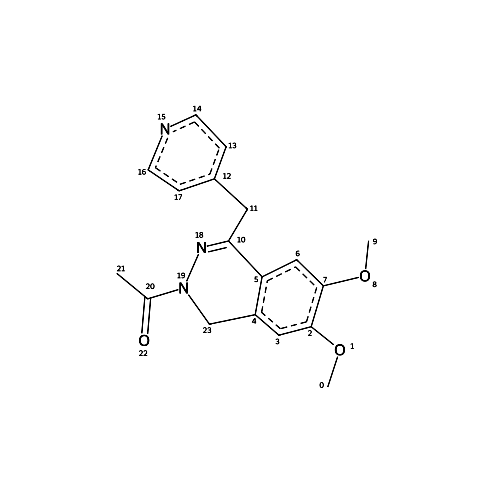 COc1cc2c(cc1OC)C(Cc1ccncc1)=NN(C(C)=O)C2